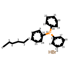 Br.CCCCCC.c1ccc(P(c2ccccc2)c2ccccc2)cc1